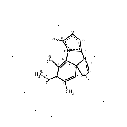 COC1C(C)=CC23C=CC=CN2c2ncc([S])n2C3=C1C